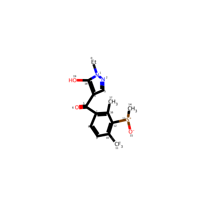 CCn1ncc(C(=O)c2ccc(C(F)(F)F)c([S+](C)[O-])c2C)c1O